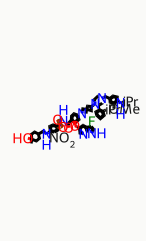 COc1cc(CN2CCN(C3CC4(C3)CN(c3ccc(C(=O)NS(=O)(=O)c5ccc(NCC6CCC(C)(O)CC6)c([N+](=O)[O-])c5)c(Oc5cnc6[nH]cc(F)c6c5)c3)C4)[C@H](c3ccccc3C(C)C)C2)ccc1NC(C)C